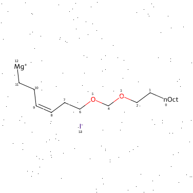 CCCCCCCCCCOCOCC/C=C\C[CH2][Mg+].[I-]